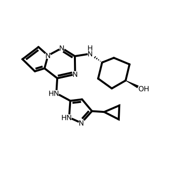 O[C@H]1CC[C@H](Nc2nc(Nc3cc(C4CC4)n[nH]3)c3cccn3n2)CC1